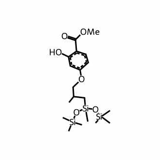 COC(=O)c1ccc(OCC(C)C[Si](C)(O[Si](C)(C)C)O[Si](C)(C)C)cc1O